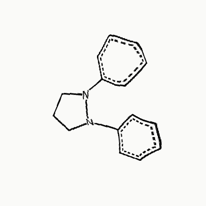 c1ccc(N2CCCN2c2ccccc2)cc1